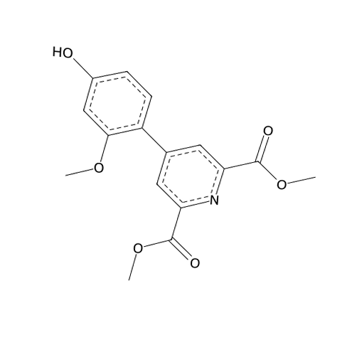 COC(=O)c1cc(-c2ccc(O)cc2OC)cc(C(=O)OC)n1